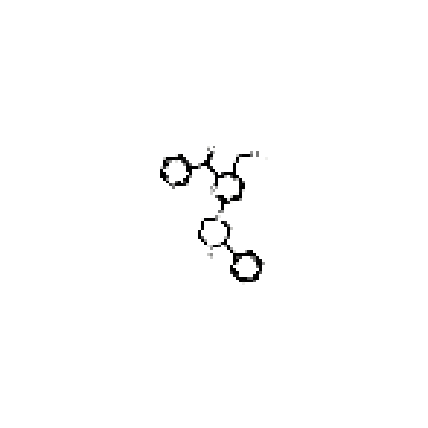 CCc1ccc(N2CCNC(c3ccccc3)C2)nc1C(=O)c1cccnc1